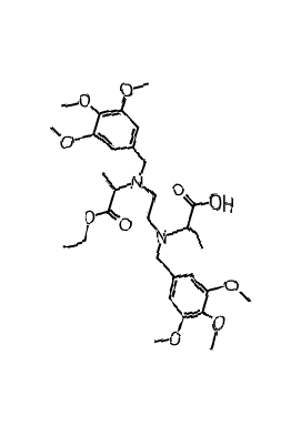 CCOC(=O)C(C)N(CCN(Cc1cc(OC)c(OC)c(OC)c1)C(C)C(=O)O)Cc1cc(OC)c(OC)c(OC)c1